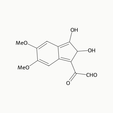 COc1cc2c(cc1OC)=C(C(=O)C=O)C(O)C=2O